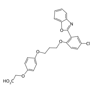 O=C(O)COc1ccc(OCCCOc2ccc(Cl)cc2-c2nc3ccccc3o2)cc1